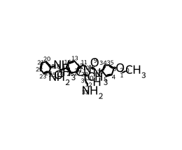 CCOc1ccc(NC(=O)N(Cc2ccc(C(=O)Nc3ccccc3N)cc2)C(C)(C)CCN)cc1